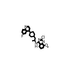 COc1cccc2c(NC(C)CC3CCC(c4ccnc5ccc(F)cc45)CC3)nc(Cl)nc12